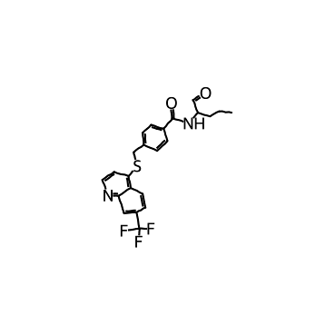 CCCC(C=O)NC(=O)c1ccc(CSc2ccnc3cc(C(F)(F)F)ccc23)cc1